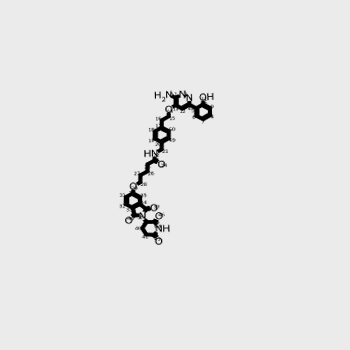 Nc1nnc(-c2ccccc2O)cc1OCCc1ccc(CNC(=O)CCCCOc2ccc3c(c2)C(=O)N(C2CCC(=O)NC2=O)C3=O)cc1